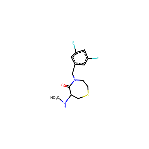 O=C(O)NC1CSCCN(Cc2cc(F)cc(F)c2)C1=O